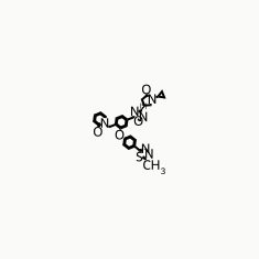 Cc1nnc(-c2ccc(Oc3cc(-c4nc([C@H]5CC(=O)N(C6CC6)C5)no4)ccc3Cn3ccccc3=O)cc2)s1